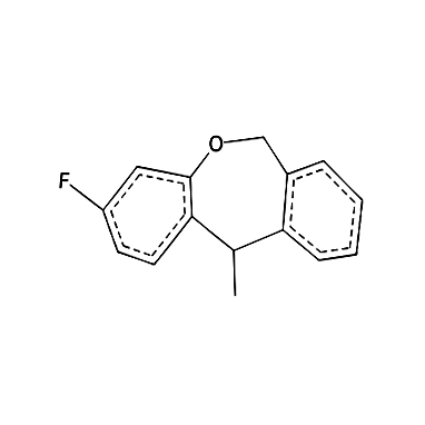 CC1c2ccccc2COc2cc(F)ccc21